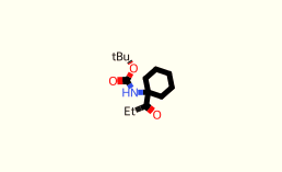 CCC(=O)C1(NC(=O)OC(C)(C)C)CCCCC1